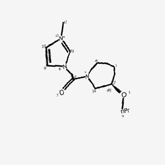 CCCO[C@@H]1CCN(C(=O)n2cc[n+](C)c2)C1